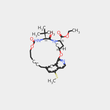 CCOC(=O)[C@@H]1C[C@@H]2CN1C(=O)[C@H](C(C)(C)C)NC(=O)OCCCCCc1cc(SC)c3ccnc(c3c1)O2